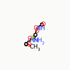 CCOc1ccccc1CCC(=O)Nc1sc2c(c1N)CCC(COC(=O)NCC1CCOCC1)C2